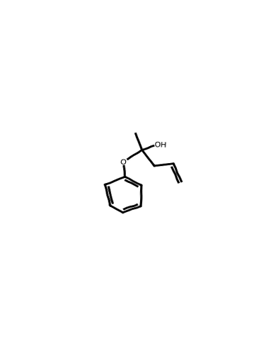 C=CCC(C)(O)Oc1ccccc1